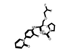 NC(=O)N1C[CH]C[C@H]1C(COCC(F)F)C(=O)Nc1ccc(-n2ccccc2=O)cc1F